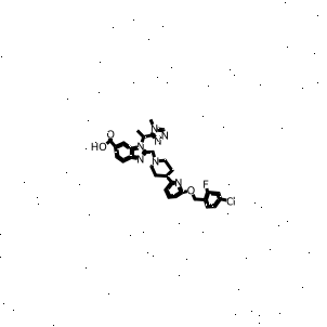 CC(c1nncn1C)n1c(CN2CCC(c3cccc(OCc4ccc(Cl)cc4F)n3)CC2)nc2ccc(C(=O)O)cc21